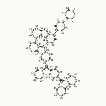 c1ccc(-c2ccc(-c3ccc(-n4c5ccccc5c5cc(-n6c7ccccc7c7cc(-n8c9ccccc9c9ccccc98)ccc76)ccc54)c4c3oc3ccccc34)cc2)cc1